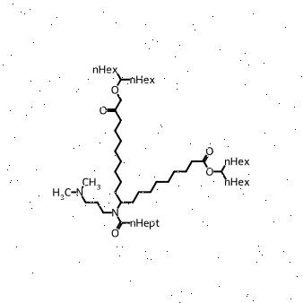 CCCCCCCC(=O)N(CCCN(C)C)C(CCCCCCCCC(=O)COC(CCCCCC)CCCCCC)CCCCCCCCC(=O)OC(CCCCCC)CCCCCC